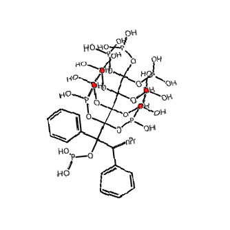 CCCC(c1ccccc1)C(OP(O)O)(c1ccccc1)C(OP(O)O)(OP(O)O)C(OP(O)O)(OP(O)O)C(OP(O)O)(OP(O)O)C(OP(O)O)(OP(O)O)OP(O)O